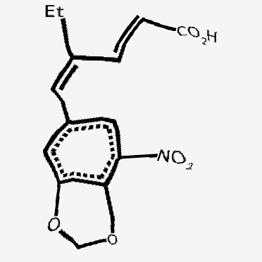 CCC(C=CC(=O)O)=Cc1cc2c(c([N+](=O)[O-])c1)OCO2